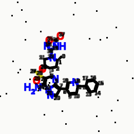 C[C@H]1C[C@H](c2nc3c(-c4ccc(-c5ccccc5)nc4)cnn3c(N)c2S(C)(=O)=O)CCN1c1noc(=O)[nH]1